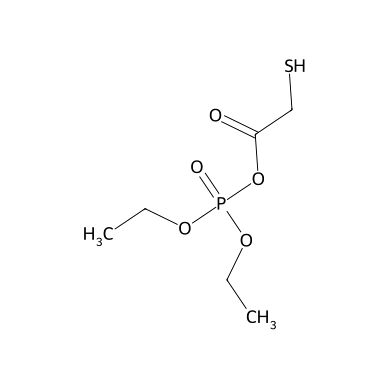 CCOP(=O)(OCC)OC(=O)CS